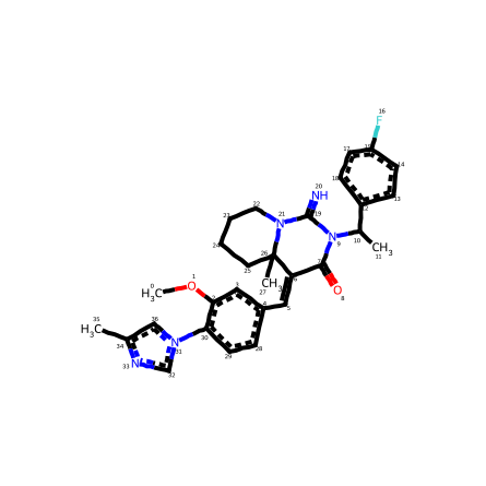 COc1cc(/C=C2/C(=O)N(C(C)c3ccc(F)cc3)C(=N)N3CCCCC23C)ccc1-n1cnc(C)c1